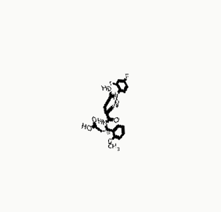 COc1ccccc1[C@H](CC(=O)O)NC(=O)c1cc(O)n(-c2ccc(F)cc2F)n1